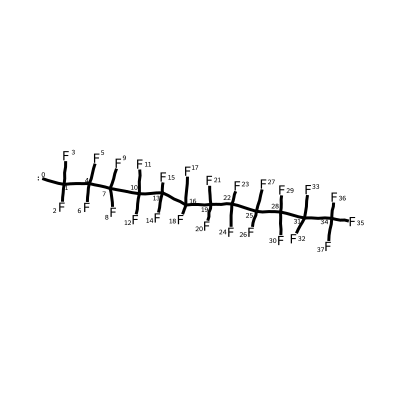 [CH]C(F)(F)C(F)(F)C(F)(F)C(F)(F)C(F)(F)C(F)(F)C(F)(F)C(F)(F)C(F)(F)C(F)(F)C(F)(F)C(F)(F)F